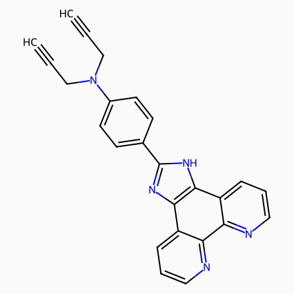 C#CCN(CC#C)c1ccc(-c2nc3c4cccnc4c4ncccc4c3[nH]2)cc1